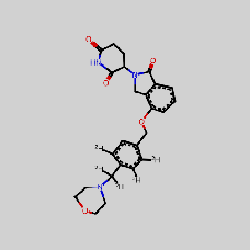 [2H]c1cc(COc2cccc3c2CN(C2CCC(=O)NC2=O)C3=O)c([2H])c([2H])c1C([2H])([2H])N1CCOCC1